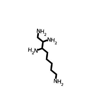 NCCCCCC(N)C(N)CN